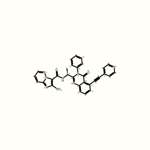 C[C@H](NC(=O)c1c(N)nc2cccnn12)c1nc2cccc(C#Cc3ccncc3)c2c(=O)n1-c1ccccc1